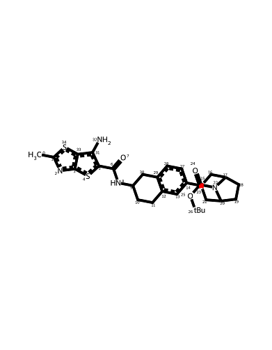 Cc1nc2sc(C(=O)NC3CCc4cc(N5CC6CCC(C5)N6C(=O)OC(C)(C)C)ccc4C3)c(N)c2s1